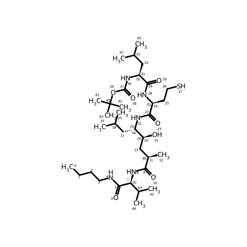 CCCCNC(=O)[C@@H](NC(=O)[C@H](C)C[C@H](O)[C@H](CC(C)C)NC(=O)[C@H](CCS)NC(=O)[C@H](CC(C)C)NC(=O)OC(C)(C)C)C(C)C